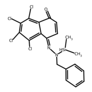 C[SiH](C)N(Cc1ccccc1)N=C1C=CC(=O)c2c(Cl)c(Cl)c(Cl)c(Cl)c21